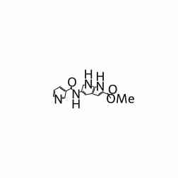 COC(=O)c1cc2c([nH]1)NCC(NC(=O)c1cccnc1)=C2